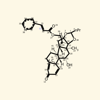 CCCC1O[C@@H]2C[C@H]3[C@@H]4CCC5=CC(=O)C=C[C@]5(C)[C@H]4[C@@H](O)C[C@]3(C)[C@]2(C(=O)COC(=O)/C=C/c2cccnc2)O1